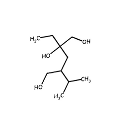 CCC(O)(CO)CC(CO)C(C)C